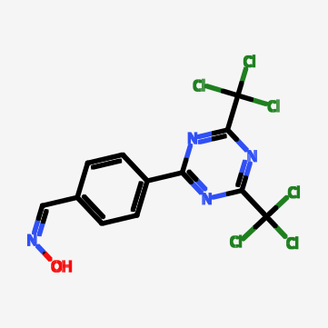 O/N=C\c1ccc(-c2nc(C(Cl)(Cl)Cl)nc(C(Cl)(Cl)Cl)n2)cc1